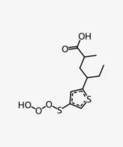 CCC(CC(C)C(=O)O)c1cc(SOOO)cs1